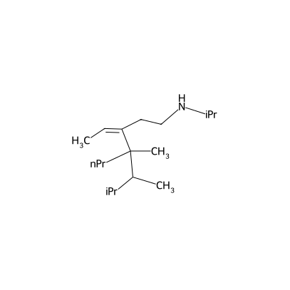 C/C=C(/CCNC(C)C)C(C)(CCC)C(C)C(C)C